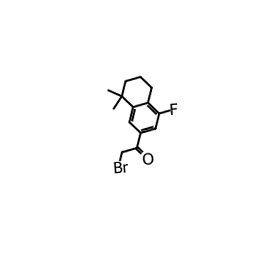 CC1(C)CCCc2c(F)cc(C(=O)CBr)cc21